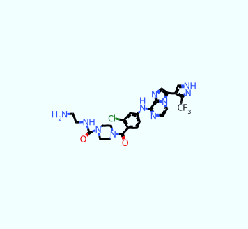 NCCNC(=O)N1CCN(C(=O)c2ccc(Nc3nccn4c(-c5c[nH]nc5C(F)(F)F)cnc34)cc2Cl)CC1